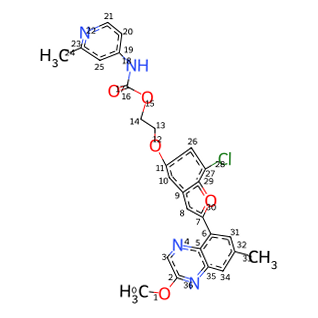 COc1cnc2c(-c3cc4cc(OCCOC(=O)Nc5ccnc(C)c5)cc(Cl)c4o3)cc(C)cc2n1